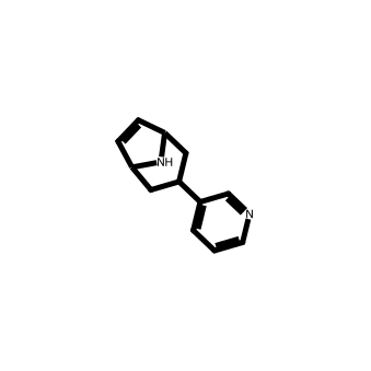 C1=CC2CC(c3cccnc3)CC1N2